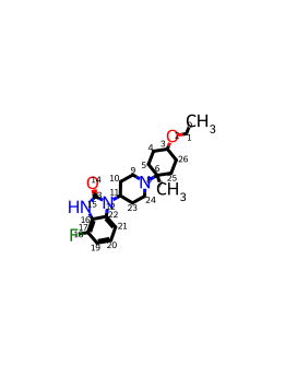 CCOC1CCC(C)(N2CCC(n3c(=O)[nH]c4c(F)cccc43)CC2)CC1